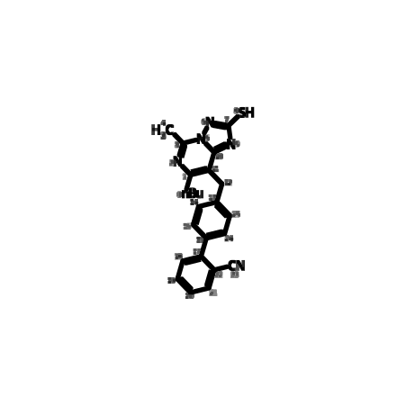 CCCCc1nc(C)n2nc(S)nc2c1Cc1ccc(-c2ccccc2C#N)cc1